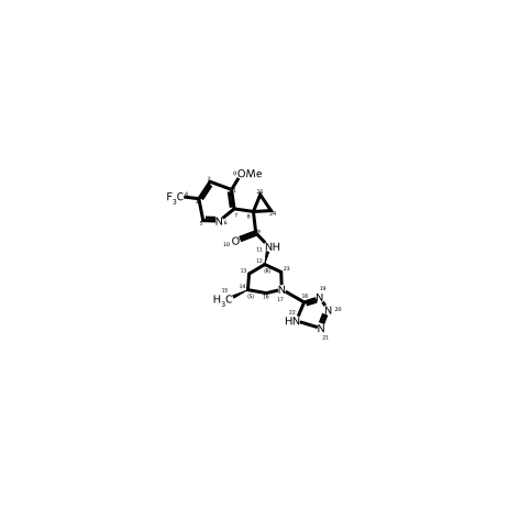 COc1cc(C(F)(F)F)cnc1C1(C(=O)N[C@@H]2C[C@H](C)CN(c3nnn[nH]3)C2)CC1